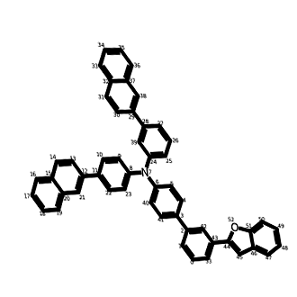 c1cc(-c2ccc(N(c3ccc(-c4ccc5ccccc5c4)cc3)c3cccc(-c4ccc5ccccc5c4)c3)cc2)cc(-c2cc3ccccc3o2)c1